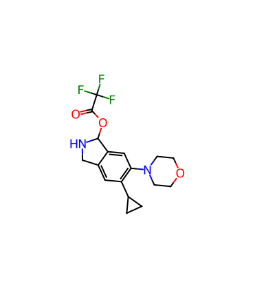 O=C(OC1NCc2cc(C3CC3)c(N3CCOCC3)cc21)C(F)(F)F